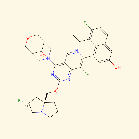 CCc1c(F)ccc2cc(O)cc(-c3ncc4c(N5CC6COCC(C5)C6O)nc(OC[C@@]56CCCN5C[C@H](F)C6)nc4c3F)c12